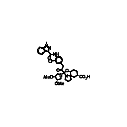 CO[C@H]1CN(C(O[C@H]2CC[C@H](C(=O)O)CC2)(C(=O)Cc2ccc(NC(=O)c3nn(C)c4ccccc34)c(Cl)c2)N2CCCC2)C[C@@H]1OC